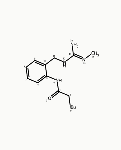 CCC(C)CC(=O)Nc1ccccc1CN/C(N)=N/C